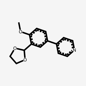 COc1ccc(-c2ccncc2)cc1C1OCCO1